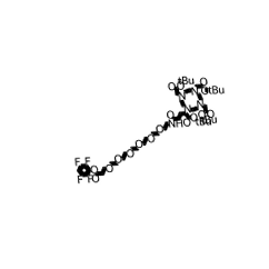 CC(C)(C)OC(=O)CN1CCN(CC(=O)OC(C)(C)C)CCN(C(CCC(=O)NCCOCCOCCOCCOCCOCCOCCC(=O)Oc2c(F)c(F)cc(F)c2F)C(=O)OC(C)(C)C)CCN(CC(=O)OC(C)(C)C)CC1